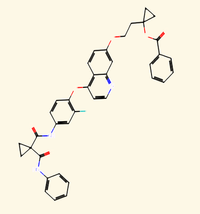 O=C(OC1(CCOc2ccc3c(Oc4ccc(NC(=O)C5(C(=O)Nc6ccccc6)CC5)cc4F)ccnc3c2)CC1)c1ccccc1